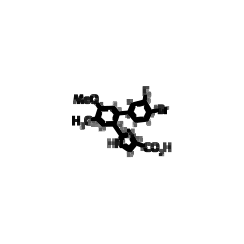 COc1cc(-c2ccc(Br)c(F)c2)c(-c2nc(C(=O)O)c[nH]2)cc1C